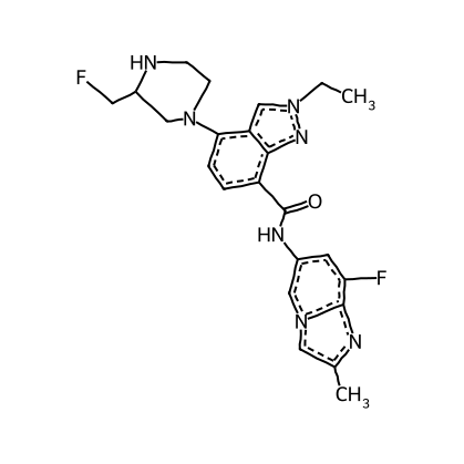 CCn1cc2c(N3CCNC(CF)C3)ccc(C(=O)Nc3cc(F)c4nc(C)cn4c3)c2n1